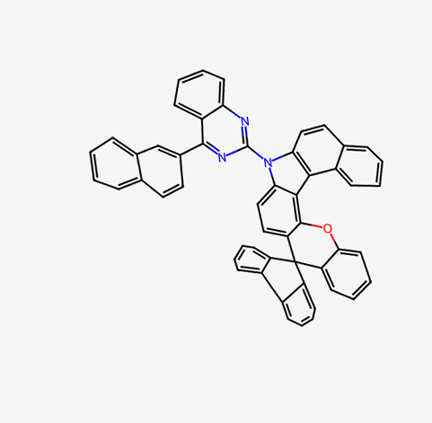 c1ccc2c(c1)Oc1c(ccc3c1c1c4ccccc4ccc1n3-c1nc(-c3ccc4ccccc4c3)c3ccccc3n1)C21c2ccccc2-c2ccccc21